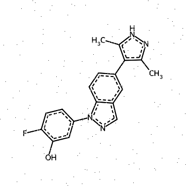 Cc1n[nH]c(C)c1-c1ccc2c(cnn2-c2ccc(F)c(O)c2)c1